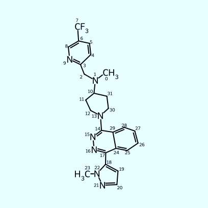 CN(Cc1ccc(C(F)(F)F)cn1)C1CCN(c2nnc(-c3ccnn3C)c3ccccc23)CC1